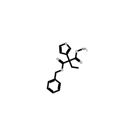 CCC(C(=O)ON)(C(=O)OCc1ccccc1)c1ccsc1